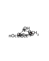 CCCCCCCCC(CCCCCCCC)OC(=O)CCCCCCCN(CCO)CCCCCCCOC(=O)CC(C)C(=O)OCCCCC